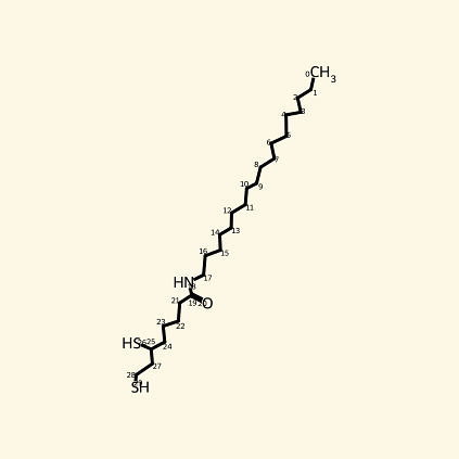 CCCCCCCCCCCCCCCCCCNC(=O)CCCCC(S)CCS